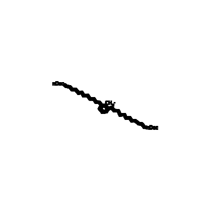 [CH2]c1c(CCCCCCCCCCCCCCCCCCCCCC)cccc1CCCCCCCCCCCCCCCCCCCCCC